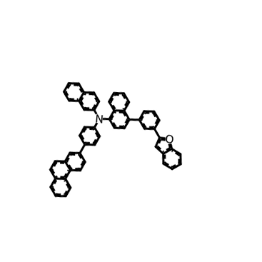 c1cc(-c2cc3ccccc3o2)cc(-c2ccc(N(c3ccc(-c4ccc5c(ccc6ccccc65)c4)cc3)c3ccc4ccccc4c3)c3ccccc23)c1